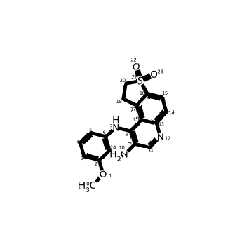 COc1cccc(Nc2c(N)cnc3ccc4c(c23)CCS4(=O)=O)c1